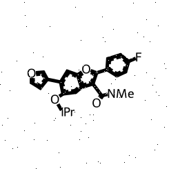 CNC(=O)c1c(-c2ccc(F)cc2)oc2cc(-c3ccoc3)c(OC(C)C)cc12